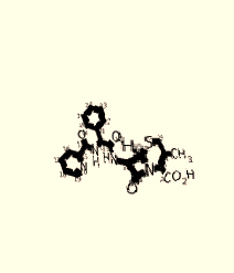 CC1=C(C(=O)O)N2C(=O)C(NC(=O)C(NC(=O)c3ccccn3)c3ccccc3)[C@@H]2SC1